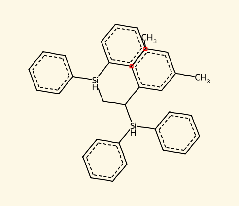 Cc1cc(C)cc(C(C[SiH](c2ccccc2)c2ccccc2)[SiH](c2ccccc2)c2ccccc2)c1